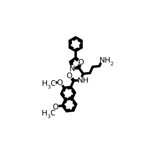 COc1cc2c(OC)cccc2cc1C(=O)NC(CCCN)c1ncc(-c2ccccc2)o1